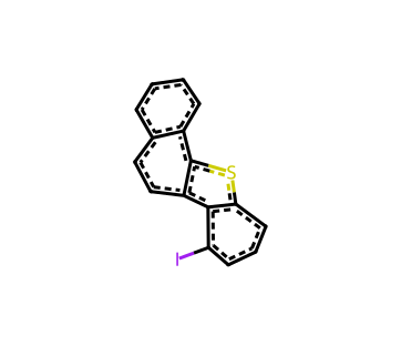 Ic1cccc2sc3c4ccccc4ccc3c12